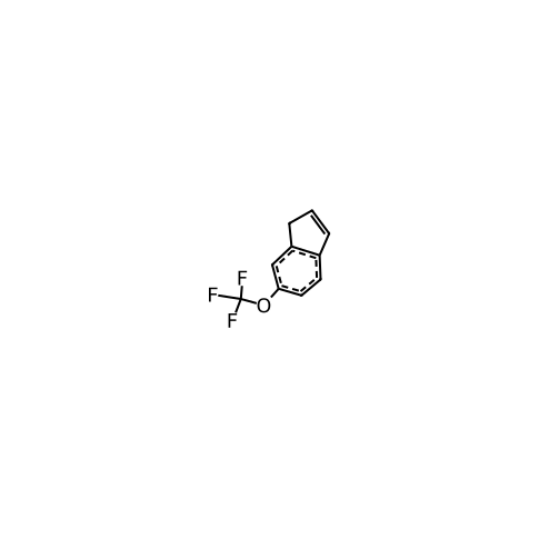 FC(F)(F)Oc1ccc2c(c1)CC=C2